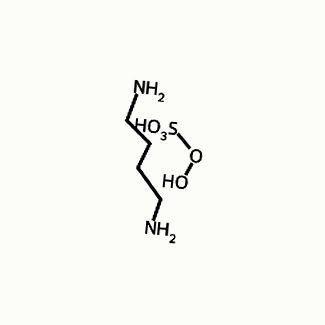 NCCCCN.O=S(=O)(O)OO